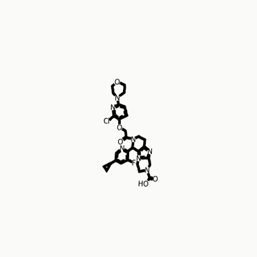 O=C(O)N1CCn2c(nc3c2C(c2ncc(C4CC4)cc2F)N(C(=O)COc2ccc(N4CCOCC4)nc2Cl)CC3)C1